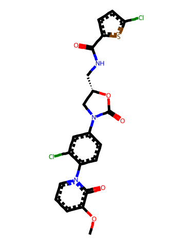 COc1cccn(-c2ccc(N3C[C@H](CNC(=O)c4ccc(Cl)s4)OC3=O)cc2Cl)c1=O